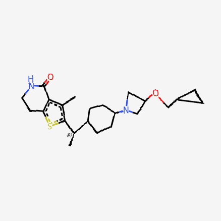 Cc1c([C@H](C)C2CCC(N3CC(OCC4CC4)C3)CC2)sc2c1C(=O)NCC2